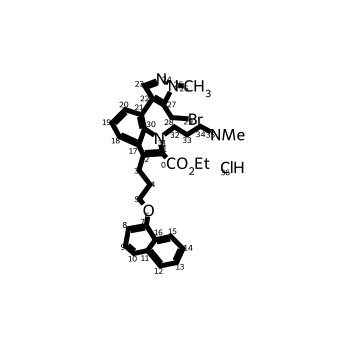 CCOC(=O)c1c(CCCOc2cccc3ccccc23)c2cccc(-c3cnn(C)c3CBr)c2n1CCCNC.Cl